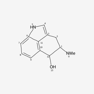 CNC1Cc2c[nH]c3cccc(c23)C1O